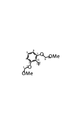 COCOc1cccc(OCOC)c1F